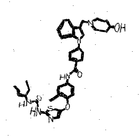 CCC(CC)NC(=O)Nc1ncc(Oc2ccc(NC(=O)c3ccc(-n4cc(CN5CCC(O)CC5)c5ccccc54)cc3)cc2C)s1